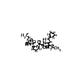 C=CCS(=O)(=O)NC(=O)[C@@H]1CCCN1C(=O)[C@H](C)NC(CCc1ccccc1)C(=O)OCC